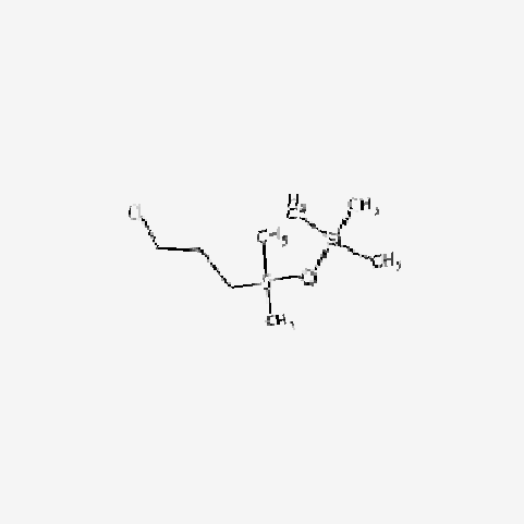 C[Si](C)(C)O[Si](C)(C)CCCCl